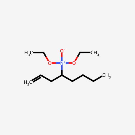 C=CCC(CCCC)[N+]([O-])(OCC)OCC